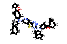 c1ccc2cc(N(c3ccc4c(c3)oc3ccccc34)c3cc4sc5nc(N(c6ccc7ccccc7c6)c6ccc7c(c6)oc6ccccc67)nnc5c4cn3)ccc2c1